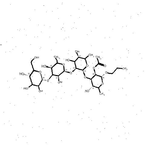 CCCO[C@@H]1OC(C)[C@H](O)C(O[C@@H]2OC(C)[C@H](O)C(O)[C@@H]2O[C@@H]2OC(C)[C@H](O)C(O[C@H]3OC(CO)[C@@H](O)C(O)C3O)[C@@H]2O)[C@H]1OC(C)=O